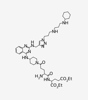 CCOC(=O)CCC(NC(=O)C(N)CCC(=O)N1CCC(Nc2nc(NCc3cn(CCCNCCCNC4CCCCC4)nn3)nc3ccccc23)CC1)C(=O)OCC